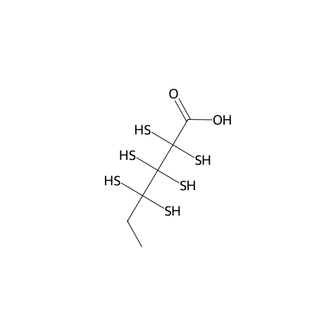 CCC(S)(S)C(S)(S)C(S)(S)C(=O)O